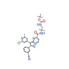 Cc1cc(-c2c(-c3cccc(C#N)c3)nn3ccc(C(=O)NC(C)(C)CNC(=O)OC(C)(C)C)nc23)cc(Cl)n1